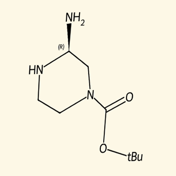 CC(C)(C)OC(=O)N1CCN[C@@H](N)C1